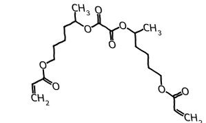 C=CC(=O)OCCCCC(C)OC(=O)C(=O)OC(C)CCCCOC(=O)C=C